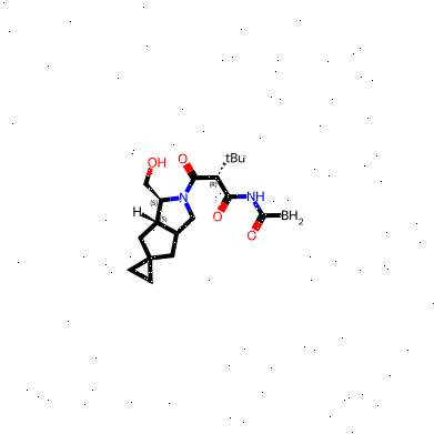 BC(=O)NC(=O)[C@H](C(=O)N1CC2CC3(CC3)C[C@@H]2[C@H]1CO)C(C)(C)C